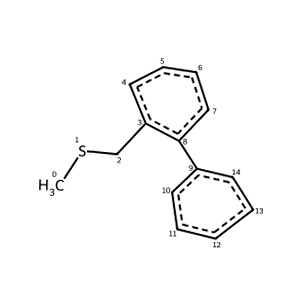 CSCc1ccccc1-c1ccccc1